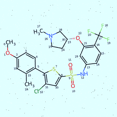 COc1ccc(-c2sc(S(=O)(=O)Nc3ccc(C(F)(F)F)c(O[C@@H]4CCN(C)C4)c3)cc2Cl)c(C)c1